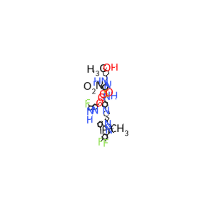 CC(C)c1ccccc1[C@@H]1CN(Cc2ccc(F)c(F)c2)[C@H](C)CN1C1CC2(CCN(c3ccc(C(=O)NS(=O)(=O)c4cnc(NCC5CCC(C)(O)CC5)c([N+](=O)[O-])c4)c(Oc4cnc5[nH]cc(F)c5c4)c3)CC2)C1